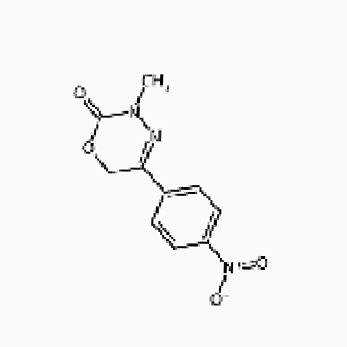 CN1N=C(c2ccc([N+](=O)[O-])cc2)COC1=O